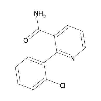 NC(=O)c1cccnc1-c1ccccc1Cl